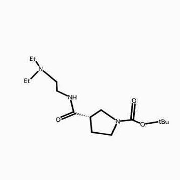 CCN(CC)CCNC(=O)[C@H]1CCN(C(=O)OC(C)(C)C)C1